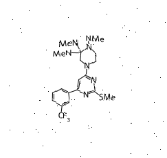 CNN1CCN(c2cc(-c3cccc(C(F)(F)F)c3)nc(SC)n2)CC1(NC)NC